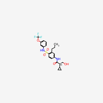 CCCc1cc(NC(=O)[C@@H](CO)C2CC2)ccc1S(=O)(=O)Nc1cccc(OC(F)(F)F)c1